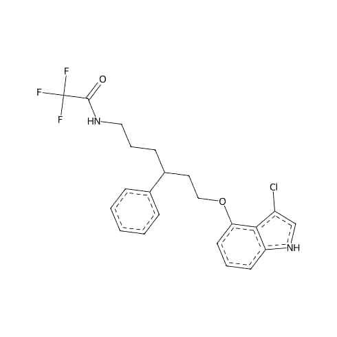 O=C(NCCCC(CCOc1cccc2[nH]cc(Cl)c12)c1ccccc1)C(F)(F)F